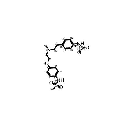 CN(CCOc1ccc(NS(C)(=O)=O)cc1)CCc1ccc(N[SH](=O)=O)cc1